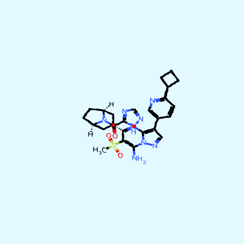 CS(=O)(=O)c1c([C@@H]2C[C@H]3CC[C@@H](C2)N3C(=O)c2ncn[nH]2)nc2c(-c3ccc(C4CCC4)nc3)cnn2c1N